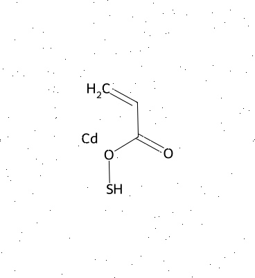 C=CC(=O)OS.[Cd]